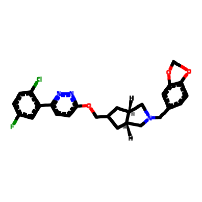 Fc1ccc(Cl)c(-c2ccc(OCC3C[C@@H]4CN(Cc5ccc6c(c5)OCO6)C[C@@H]4C3)nn2)c1